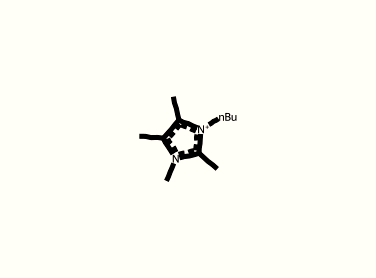 CCCC[n+]1c(C)c(C)n(C)c1C